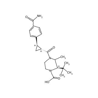 CC1[C@@H](C(C)(C)C)N(C(=O)O)CCN1C(=O)[C@@H]1C[C@H]1c1ccc(C(N)=O)cc1